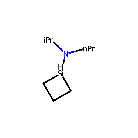 CCCN(C(C)C)[SiH]1CCC1